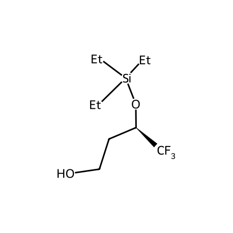 CC[Si](CC)(CC)O[C@H](CCO)C(F)(F)F